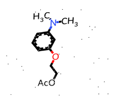 CC(=O)OCCOc1cccc(N(C)C)c1